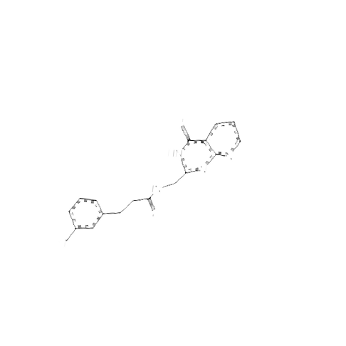 O=C(CCc1cccc(Cl)c1)NCc1nc2ncccc2c(=O)[nH]1